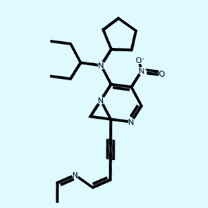 C/C=N\C=C/C#CC12CN1C(N(C(CC)CC)C1CCCC1)=C([N+](=O)[O-])C=N2